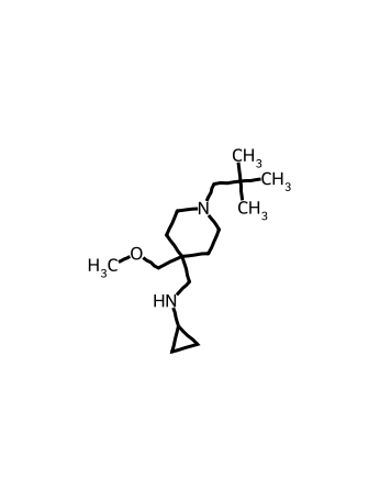 COCC1(CNC2CC2)CCN(CC(C)(C)C)CC1